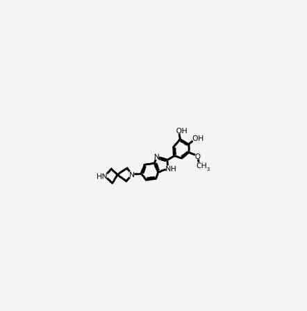 COc1cc(-c2nc3cc(N4CC5(CNC5)C4)ccc3[nH]2)cc(O)c1O